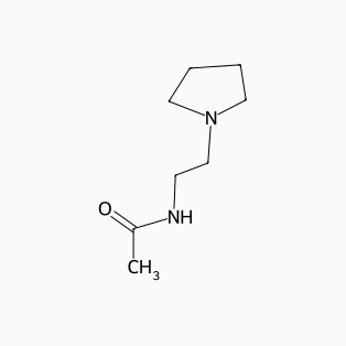 CC(=O)NCCN1CCCC1